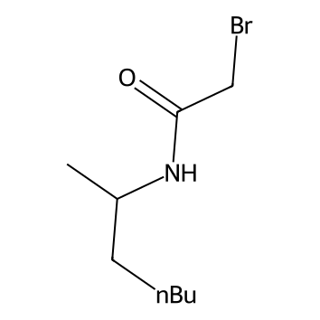 CCCCCC(C)NC(=O)CBr